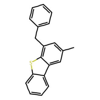 Cc1cc(Cc2ccccc2)c2sc3ccccc3c2c1